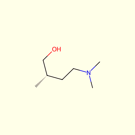 C[C@H](CO)CCN(C)C